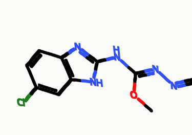 C=N/N=C(/Nc1nc2ccc(Cl)cc2[nH]1)OC